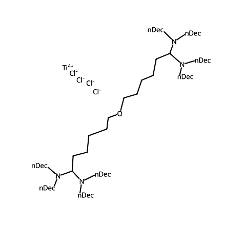 CCCCCCCCCCN(CCCCCCCCCC)C(CCCCCOCCCCCC(N(CCCCCCCCCC)CCCCCCCCCC)N(CCCCCCCCCC)CCCCCCCCCC)N(CCCCCCCCCC)CCCCCCCCCC.[Cl-].[Cl-].[Cl-].[Cl-].[Ti+4]